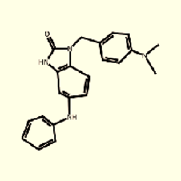 CN(C)c1ccc(Cn2c(=O)[nH]c3cc(Nc4ccccc4)ccc32)cc1